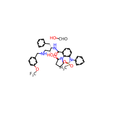 CS(=O)(=O)N(c1ccccc1)c1cccc(C(=O)N[C@@H](Cc2ccccc2)[C@H](O)CNCc2cccc(OC(F)(F)F)c2)c1N1CCCC1=O.O=CO